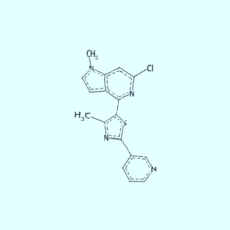 Cc1nc(-c2cccnc2)sc1-c1nc(Cl)cc2c1ccn2C